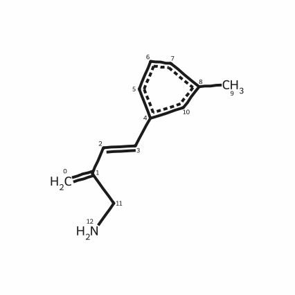 C=C(/C=C/c1cccc(C)c1)CN